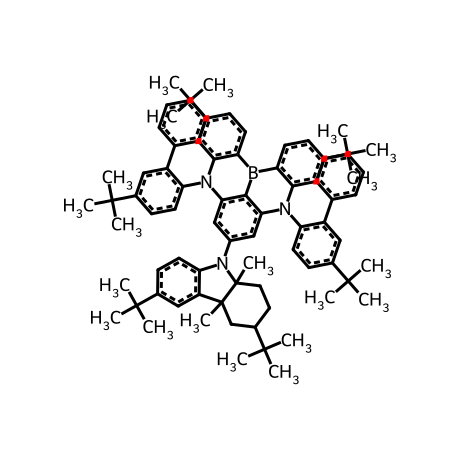 CC(C)(C)c1ccc(N2c3cc(C(C)(C)C)ccc3B3c4ccc(C(C)(C)C)cc4N(c4ccc(C(C)(C)C)cc4-c4ccccc4)c4cc(N5c6ccc(C(C)(C)C)cc6C6(C)CC(C(C)(C)C)CCC56C)cc2c43)c(-c2ccccc2)c1